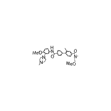 COCCN(C)C(=O)c1ccc(-c2ccc(C(=O)Nc3ccc(OC)c(N4CCN(C)CC4)c3)cc2)c(C)c1